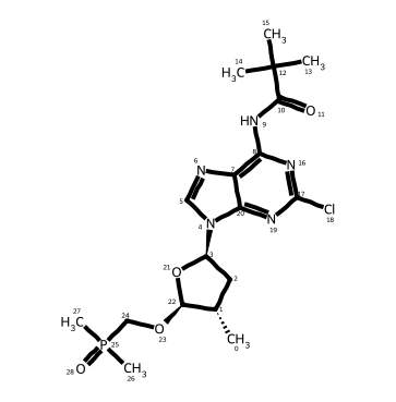 C[C@H]1C[C@H](n2cnc3c(NC(=O)C(C)(C)C)nc(Cl)nc32)O[C@@H]1OCP(C)(C)=O